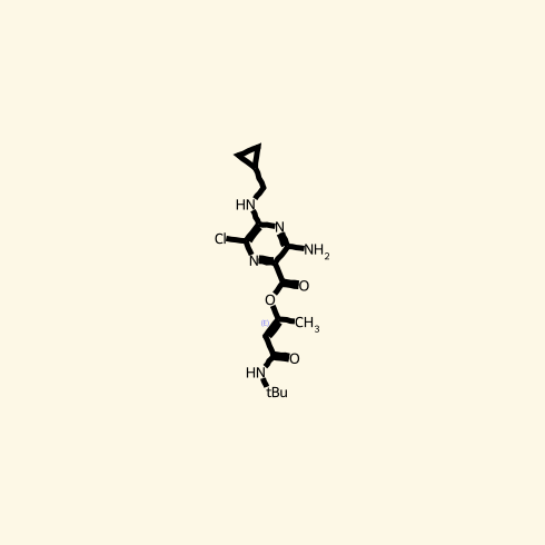 C/C(=C\C(=O)NC(C)(C)C)OC(=O)c1nc(Cl)c(NCC2CC2)nc1N